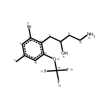 Cc1cc(Br)c(CC(O)CCN)c(OC(F)(F)F)c1